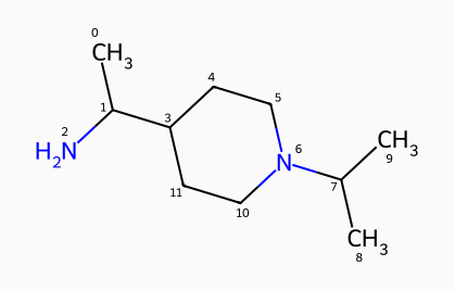 CC(N)C1CCN(C(C)C)CC1